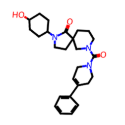 O=C(N1CC=C(c2ccccc2)CC1)N1CCCC2(CCN(C3CCC(O)CC3)C2=O)C1